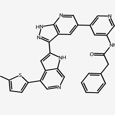 O=C(Cc1ccccc1)Nc1cncc(-c2cnc3[nH]nc(-c4cc5c(-c6ccc(F)s6)cncc5[nH]4)c3c2)c1